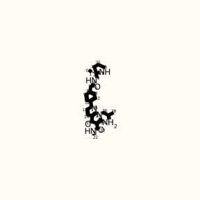 CC[C@]1(CNC(=O)Cc2ccc(-c3ccc4c(=O)c(C(=O)NC)c(N)n(CC(C)C)c4n3)cc2)CCCN1